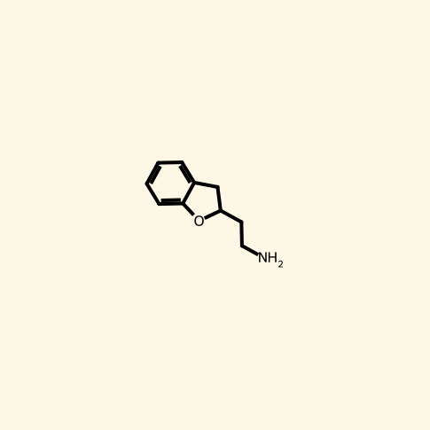 NCCC1Cc2ccccc2O1